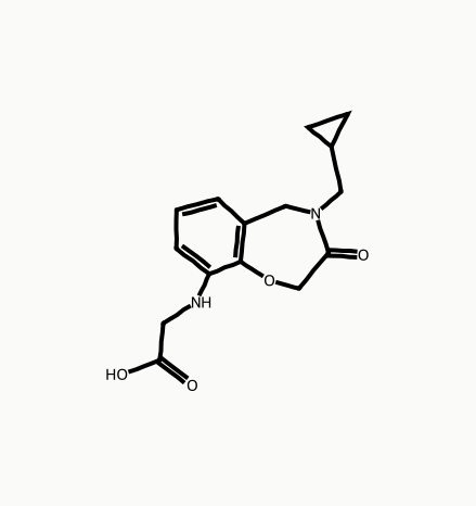 O=C(O)CNc1cccc2c1OCC(=O)N(CC1CC1)C2